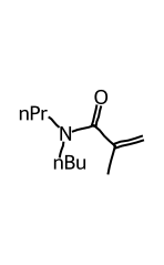 C=C(C)C(=O)N(CCC)CCCC